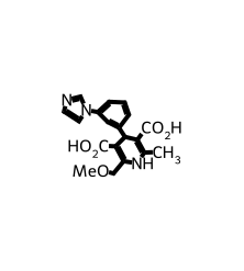 COCC1=C(C(=O)O)C(c2cccc(-n3ccnc3)c2)C(C(=O)O)=C(C)N1